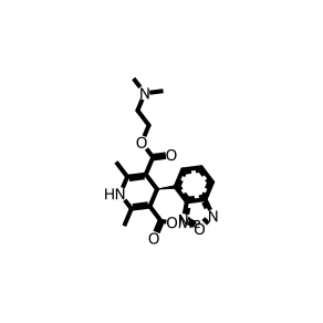 COC(=O)C1=C(C)NC(C)=C(C(=O)OCCN(C)C)[C@H]1c1cccc2nonc12